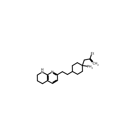 C=C(CC)CC1(P)CCC(CCc2ccc3c(n2)NCCC3)CC1